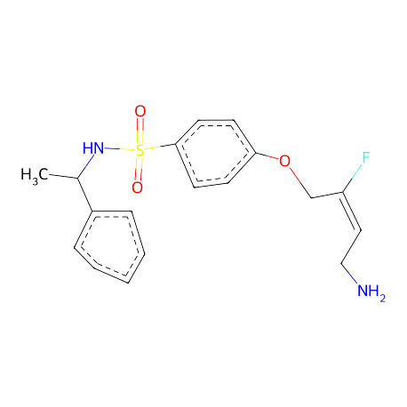 CC(NS(=O)(=O)c1ccc(OC/C(F)=C\CN)cc1)c1ccccc1